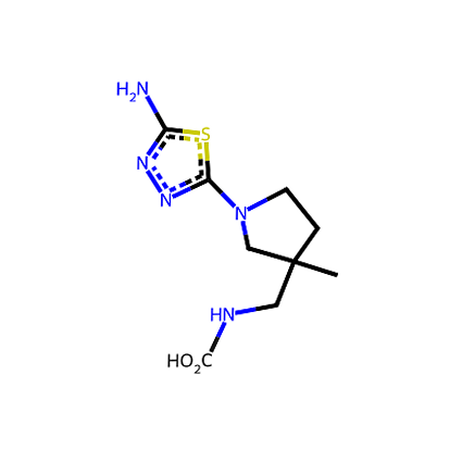 CC1(CNC(=O)O)CCN(c2nnc(N)s2)C1